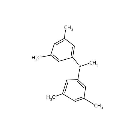 Cc1cc(C)cc(P(C)c2cc(C)cc(C)c2)c1